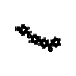 O=C(c1ccccc1)N1CCN(c2ccc(OCC3CCNCC3)cc2)CC1